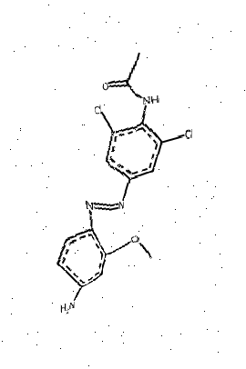 COc1cc(N)ccc1N=Nc1cc(Cl)c(NC(C)=O)c(Cl)c1